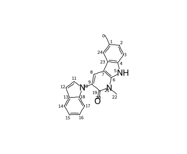 Cc1ccc2[nH]c3c(cc(-n4ccc5ccccc54)c(=O)n3C)c2c1